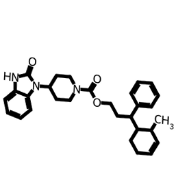 CC1C=CCCC1C(CCOC(=O)N1CCC(n2c(=O)[nH]c3ccccc32)CC1)c1ccccc1